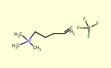 C=CCCC[N+](C)(C)C.F[B-](F)(F)F